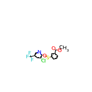 COC(=O)c1cccc(SOc2ncc(C(F)(F)F)cc2Cl)c1